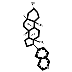 C[C@]12CC[C@@H](O)C[C@@H]1CC[C@@H]1[C@@H]2CC[C@]2(C)[C@@H](c3ccc4cnccc4c3)CC[C@@H]12